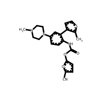 Cc1sccc1-c1cc(N2CCN(C)CC2)ccc1NC(=O)Oc1ccc(C#N)o1